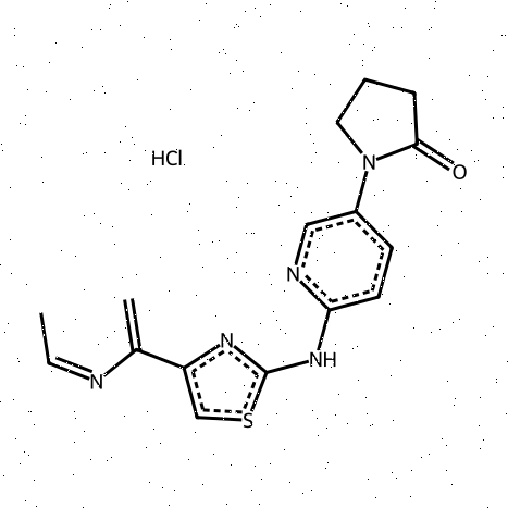 C=C(/N=C\C)c1csc(Nc2ccc(N3CCCC3=O)cn2)n1.Cl